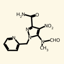 CN(C=O)c1c([N+](=O)[O-])c(C(N)=O)nn1Cc1ccccn1